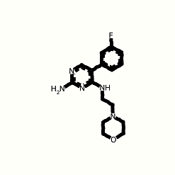 Nc1ncc(-c2cccc(F)c2)c(NCCN2CCOCC2)n1